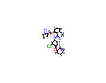 Clc1cc(Nc2ncnc3cccc(OC[C@H]4CCCN4)c23)ccc1Oc1cccnc1